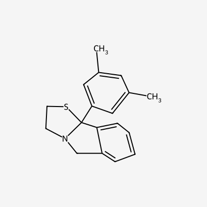 Cc1cc(C)cc(C23SCCN2Cc2ccccc23)c1